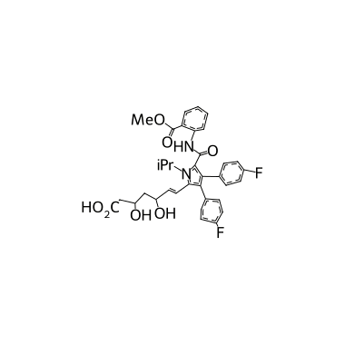 COC(=O)c1ccccc1NC(=O)c1c(-c2ccc(F)cc2)c(-c2ccc(F)cc2)c(C=CC(O)CC(O)CC(=O)O)n1C(C)C